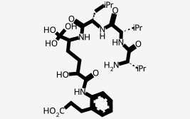 CC(C)C[C@H](NC(=O)[C@@H](NC(=O)[C@@H](N)C(C)C)C(C)C)C(=O)NC(CCC(O)C(=O)Nc1ccccc1CCC(=O)O)C(O)(O)O